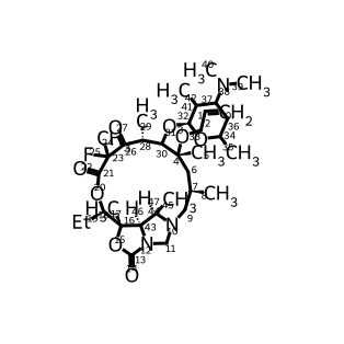 C=CCO[C@]1(C)C[C@@H](C)CN2CN3C(=O)O[C@](C)([C@@H](CC)OC(=O)C(C)(F)C(=O)[C@H](C)C1O[C@@H]1OC(C)CC(N(C)C)C1C)[C@H]3[C@H]2C